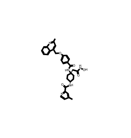 Cc1ccnc(C(=O)N[C@H]2CC[C@@](CC(=O)NO)(NC(=O)c3ccc(OCc4cc(C)nc5ccccc45)cc3)CC2)c1